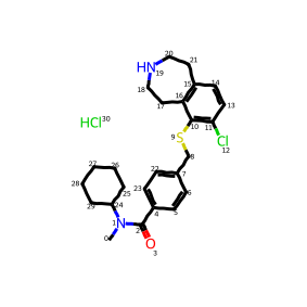 CN(C(=O)c1ccc(CSc2c(Cl)ccc3c2CCNCC3)cc1)C1CCCCC1.Cl